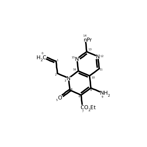 C=CCn1c(=O)c(C(=O)OCC)c(N)c2cnc(CCC)nc21